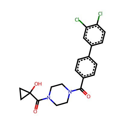 O=C(c1ccc(-c2ccc(Cl)c(Cl)c2)cc1)N1CCN(C(=O)C2(O)CC2)CC1